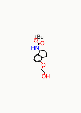 CC(C)(C)OC(=O)N[C@@H]1CCCc2c(OCCO)cccc21